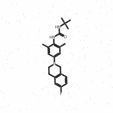 Cc1cc(N2CCc3cc(F)ccc3C2)cc(C)c1NC(=O)NC(C)(C)C